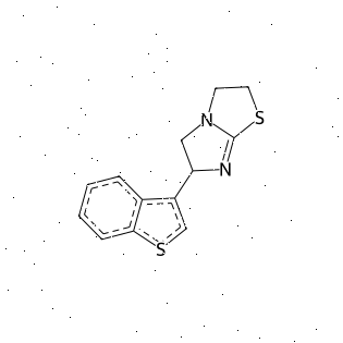 c1ccc2c(C3CN4CCSC4=N3)csc2c1